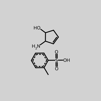 Cc1ccccc1S(=O)(=O)O.NC1C=CCC1O